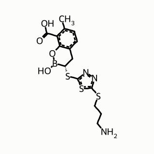 Cc1ccc2c(c1C(=O)O)OB(O)[C@@H](Sc1nnc(SCCCN)s1)C2